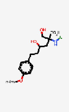 CCCCCCOc1ccc(CCC(O)CC(CO)(NCl)C(=O)O)cc1